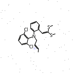 C/C=C/CN(c1ccccc1C=C(SC)SC)c1c(Cl)cccc1Cl